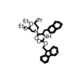 CCOC(CN(CCC(C)C)C(=O)C(Cc1ccc2ccccc2c1)NC(=O)OCC1c2ccccc2-c2ccccc21)OCC